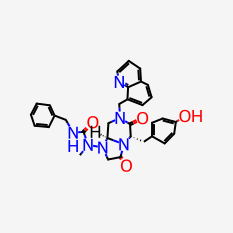 CN(C(=O)NCc1ccccc1)N1CC(=O)N2[C@@H](Cc3ccc(O)cc3)C(=O)N(Cc3cccc4cccnc34)C[C@@H]21